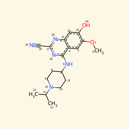 COc1cc2c(NC3CCN(C(C)C)CC3)nc(C#N)nc2cc1O